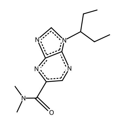 CCC(CC)n1cnc2nc(C(=O)N(C)C)cnc21